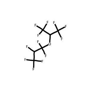 FC(C(F)(F)F)C(F)(F)OC(C(F)(F)F)C(F)(F)F